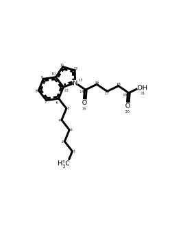 CCCCCCc1cccc2ccn(C(=O)CCCC(=O)O)c12